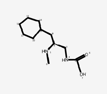 CN[C@H](CNC(=O)O)CC1CCCCC1